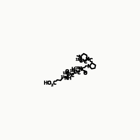 CN1CCN([13CH2]C2CCCN2C[13C](=O)[15NH][13CH2][13CH2][13CH2][13C](=O)[15NH]CCC[13C](=O)O)[13CH2][13CH2]1